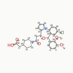 COc1cccc(C2OC(CC(=O)N3CCC(CC(=O)O)CC3)c3cccn3-c3ccc(Cl)cc32)c1OC